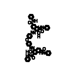 O=C(Nc1ccccc1)c1ccc2c(N=Nc3ccc(Oc4ccc(N=Nc5c(O)c(C(=O)Nc6ccccc6)cc6cc(C(=O)Nc7ccccc7)ccc56)cc4)cc3)c(O)c(C(=O)Nc3ccccc3)cc2c1